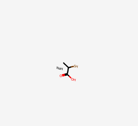 CC(S)C(=O)O.[NaH]